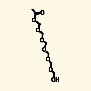 CC(=O)OCOCOCOCOCOCO